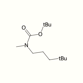 CN(CCCC(C)(C)C)C(=O)OC(C)(C)C